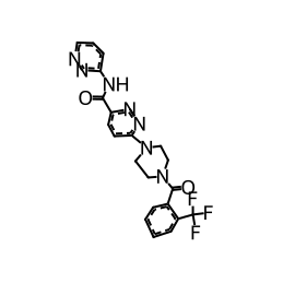 O=C(Nc1cccnn1)c1ccc(N2CCN(C(=O)c3ccccc3C(F)(F)F)CC2)nn1